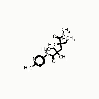 CCC(C)(CC(C)(CC)C(=O)Nc1ccc(C)nc1)C(=O)NC